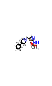 CS(=O)(=O)Nc1ncc(CN2CCC(c3ccccc3)CC2)s1